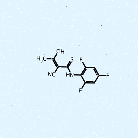 C/C(O)=C(\C#N)C(=S)Nc1c(F)cc(F)cc1F